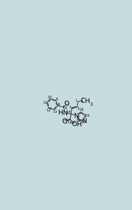 CCC=CC(NC(=O)c1ccccc1)(C(=O)O)n1ccnc1